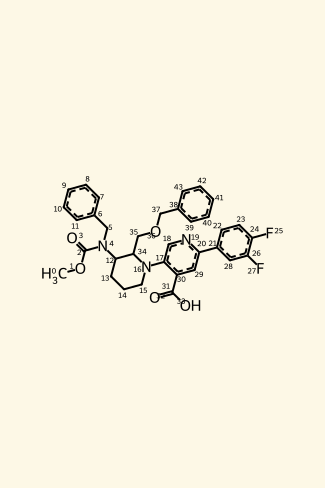 COC(=O)N(Cc1ccccc1)C1CCCN(c2cnc(-c3ccc(F)c(F)c3)cc2C(=O)O)C1COCc1ccccc1